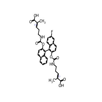 C/C(=C\CCNC(=O)Oc1ccc2ccccc2c1-c1c(OC(=O)NCC/C=C(\C)C(=O)O)ccc2cc(F)ccc12)C(=O)O